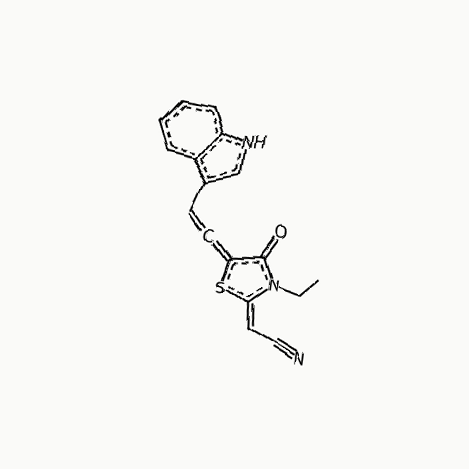 CCn1c(=O)c(=C=Cc2c[nH]c3ccccc23)s/c1=C/C#N